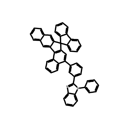 c1ccc(-n2c(-c3cccc(-c4cc5c(c6ccccc46)-c4cc6ccccc6cc4C54c5ccccc5-c5ccccc54)c3)nc3ccccc32)cc1